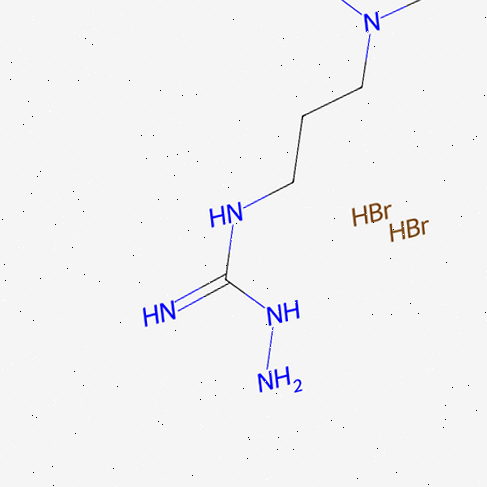 Br.Br.CN(C)CCCNC(=N)NN